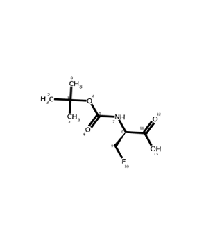 CC(C)(C)OC(=O)N[C@H](CF)C(=O)O